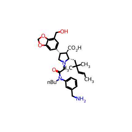 C/C=C/C(C)(C)C[C@H]1[C@H](C(=O)O)[C@@H](c2cc(CO)c3c(c2)OCO3)CN1CC(=O)N(CCCC)c1cccc(CN)c1